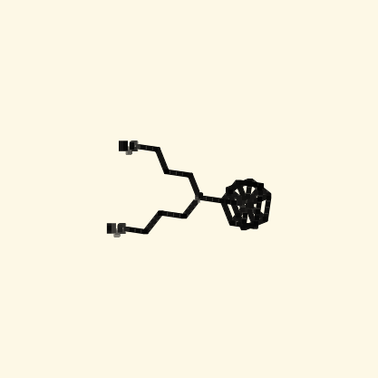 CCCCP(CCCC)[C]12[CH]3[CH]4[CH]5[CH]1[Co]45321678[CH]2[CH]1[CH]6[CH]7[CH]28